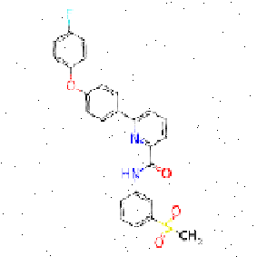 CS(=O)(=O)c1cccc(NC(=O)c2cccc(-c3ccc(Oc4ccc(F)cc4)cc3)n2)c1